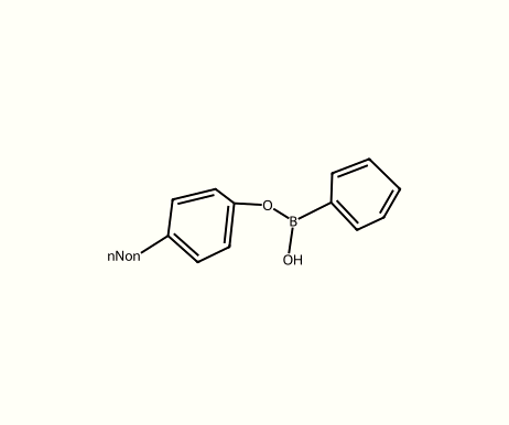 CCCCCCCCCc1ccc(OB(O)c2ccccc2)cc1